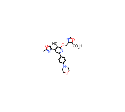 Cc1nc(-c2cc(-c3ccc(N4CCOCC4)cc3)nc(OCc3ncoc3C(=O)O)c2C#N)co1